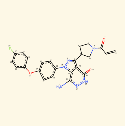 C=CC(=O)N1CCC(c2nn(-c3ccc(Oc4ccc(F)cc4)cc3)c3c(N)n[nH]c(=O)c23)C1